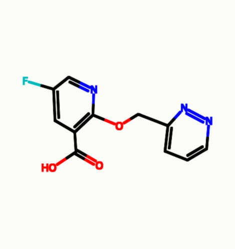 O=C(O)c1cc(F)cnc1OCc1cccnn1